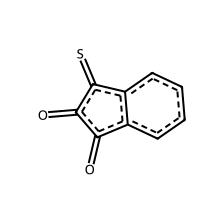 O=c1c(=O)c2ccccc2c1=S